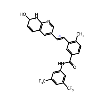 Cc1ccc(C(=O)Nc2cc(C(F)(F)F)cc(C(F)(F)F)c2)cc1/C=C/c1cnc2c(c1)C=CC(O)N2